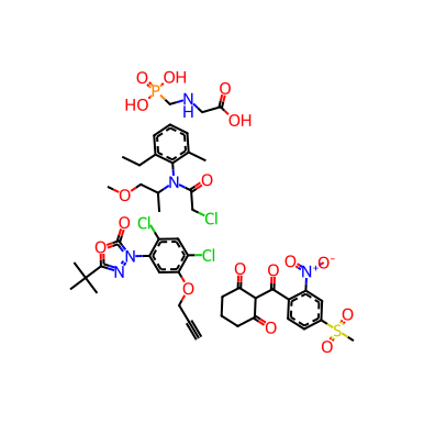 C#CCOc1cc(-n2nc(C(C)(C)C)oc2=O)c(Cl)cc1Cl.CCc1cccc(C)c1N(C(=O)CCl)C(C)COC.CS(=O)(=O)c1ccc(C(=O)C2C(=O)CCCC2=O)c([N+](=O)[O-])c1.O=C(O)CNCP(=O)(O)O